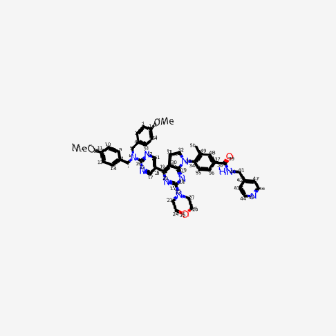 COc1ccc(CN(Cc2ccc(OC)cc2)c2ncc(-c3nc(N4CCOCC4)nc4c3CCN4c3ccc(C(=O)NCc4ccncc4)cc3C)cn2)cc1